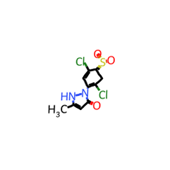 Cc1cc(=O)n(C2=C(Cl)CC(=S(=O)=O)C(Cl)=C2)[nH]1